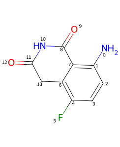 Nc1ccc(F)c2c1C(=O)NC(=O)C2